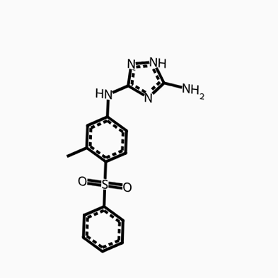 Cc1cc(Nc2n[nH]c(N)n2)ccc1S(=O)(=O)c1ccccc1